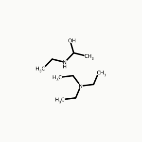 CCN(CC)CC.CCNC(C)O